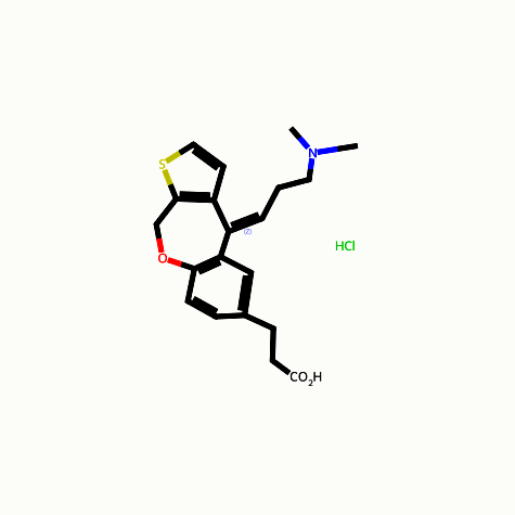 CN(C)CC/C=C1/c2cc(CCC(=O)O)ccc2OCc2sccc21.Cl